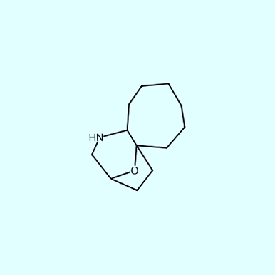 C1CCCC23CCC(CNC2CC1)O3